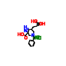 Cl.Cl.N[C@@]1(C(=O)O)C[C@@H](CCB(O)O)CN(Cc2ccccc2)C1